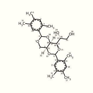 Cc1cc(C)c(C2OC[C@@H]3OC(c4cc(C)c(C)cc4C)O[C@H]([C@H](O)CO)[C@@H]3O2)cc1C